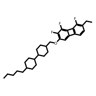 CCCCCC1CCC(C2CCC(COc3cc4c(c(F)c3F)-c3c-4ccc(CC)c3F)CC2)CC1